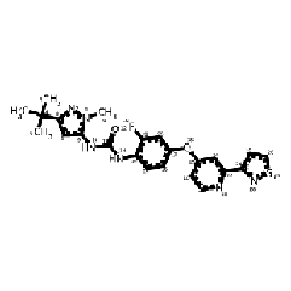 Cn1nc(C(C)(C)C)cc1NC(=O)Nc1ccc(Oc2ccnc(-c3ccsn3)c2)cc1F